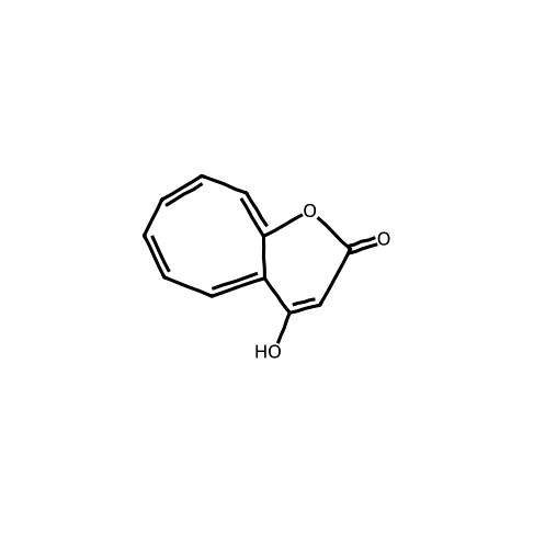 O=c1cc(O)c2c(o1)=CC=CC=CC=2